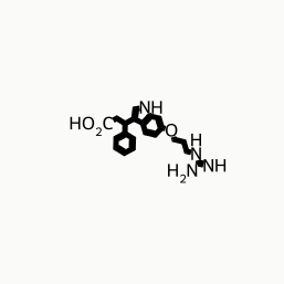 N=C(N)NCCCOc1ccc2c(C(CC(=O)O)c3ccccc3)c[nH]c2c1